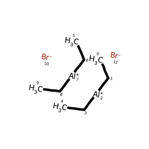 C[CH2][Al+][CH2]C.C[CH2][Al+][CH2]C.[Br-].[Br-]